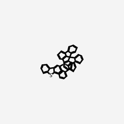 c1ccc(-c2ccccc2N(c2ccc3sc4ccccc4c3c2)c2cccc3c2C2(c4ccccc4-c4ccccc42)c2ccccc2-3)cc1